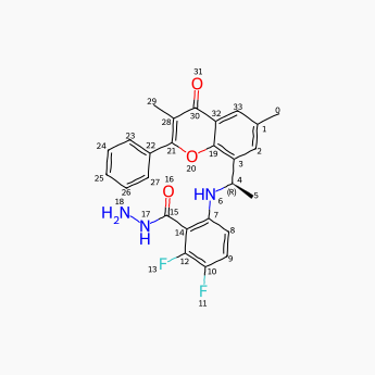 Cc1cc([C@@H](C)Nc2ccc(F)c(F)c2C(=O)NN)c2oc(-c3ccccc3)c(C)c(=O)c2c1